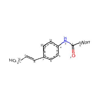 CCCCCCCCCC(=O)Nc1ccc(C=CC(=O)O)cc1